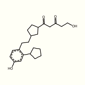 O=C(CCO)CC(=O)C1CCC(CCc2ccc(O)cc2C2CCCC2)C1